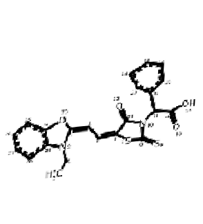 CCN1/C(=C\C=C2\SC(=S)N(C(C(=O)O)c3ccccc3)C2=O)Oc2ccccc21